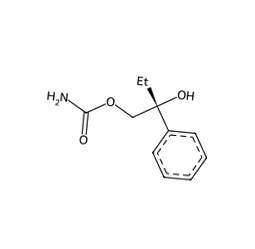 CC[C@](O)(COC(N)=O)c1ccccc1